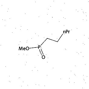 CCCCC[P](=O)OC